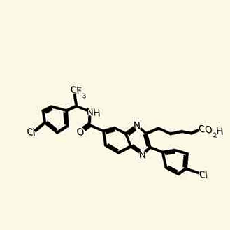 O=C(O)CCCCc1nc2cc(C(=O)NC(c3ccc(Cl)cc3)C(F)(F)F)ccc2nc1-c1ccc(Cl)cc1